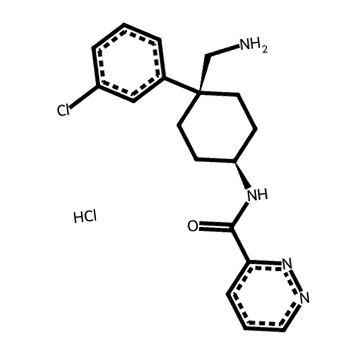 Cl.NC[C@]1(c2cccc(Cl)c2)CC[C@H](NC(=O)c2cccnn2)CC1